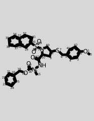 COc1ccc(CSC2CC(C(=O)NN(C)C(=O)OCc3ccccc3)N(S(=O)(=O)c3ccc4ccccc4c3)C2)cc1